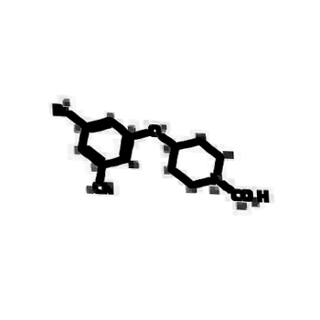 N#Cc1cc(Br)cc(OC2CCN(C(=O)O)CC2)c1